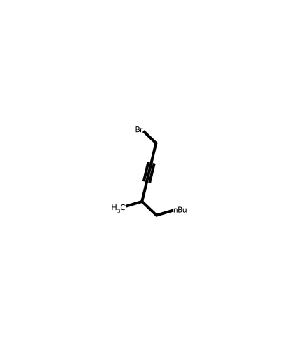 CCCCCC(C)C#CCBr